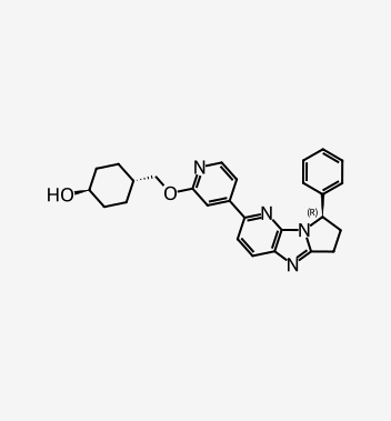 O[C@H]1CC[C@H](COc2cc(-c3ccc4nc5n(c4n3)[C@@H](c3ccccc3)CC5)ccn2)CC1